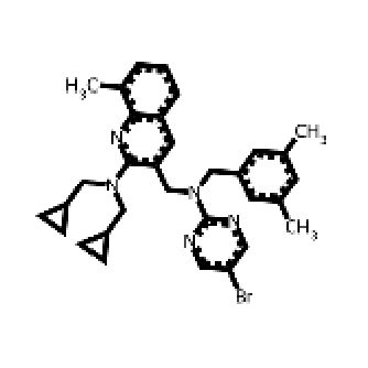 Cc1cc(C)cc(CN(Cc2cc3cccc(C)c3nc2N(CC2CC2)CC2CC2)c2ncc(Br)cn2)c1